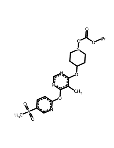 Cc1c(Oc2ccc(S(C)(=O)=O)cn2)ncnc1OC1CCN(OC(=O)OC(C)C)CC1